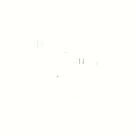 CCCc1ccccc1C1(C#N)CCCC(O)C1